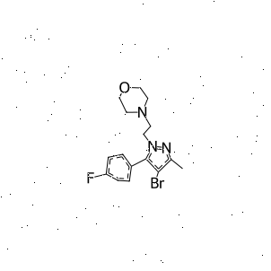 Cc1nn(CCN2CCOCC2)c(-c2ccc(F)cc2)c1Br